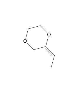 CC=C1COCCO1